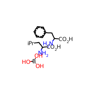 CC(C)CC(N)C(=O)O.NC(Cc1ccccc1)C(=O)O.OB(O)O